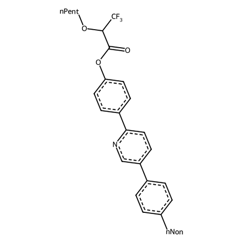 CCCCCCCCCc1ccc(-c2ccc(-c3ccc(OC(=O)C(OCCCCC)C(F)(F)F)cc3)nc2)cc1